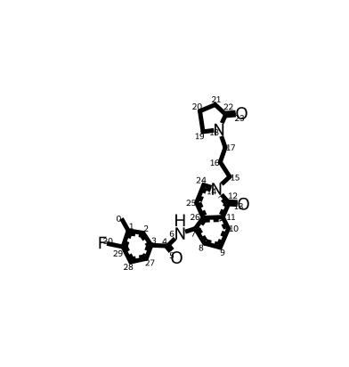 Cc1cc(C(=O)Nc2cccc3c(=O)n(CCCN4CCCC4=O)ccc23)ccc1F